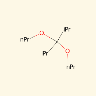 CCCOC(OCCC)(C(C)C)C(C)C